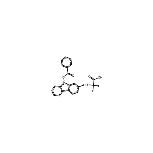 O=C(Nn1c2cnccc2c2ccc(Cl)cc21)c1ccccc1.O=C(O)C(F)(F)F